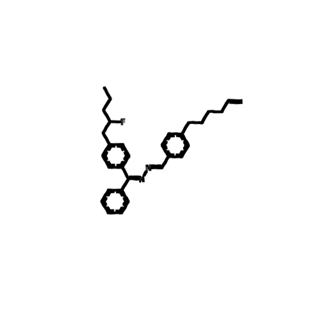 C=CCCCCc1ccc(C=NN=C(c2ccccc2)c2ccc(CC(F)CCC)cc2)cc1